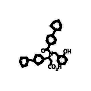 O=C(O)CC(c1ccc(-c2ccccc2)cc1)N(Cc1ccccc1O)C(=O)c1ccc(-c2ccccc2)cc1